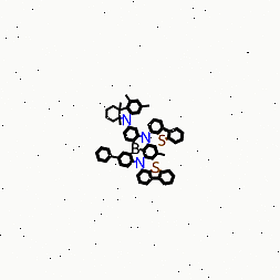 Cc1cc2c3c(c1)N(c1cccc4c1sc1ccccc14)c1cc(N4c5cc(C)cc(C)c5C5(C)CCCCC45C)ccc1B3c1cc(-c3ccccc3)ccc1N2c1cccc2c1sc1ccccc12